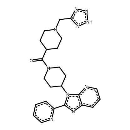 O=C(C1CCN(Cc2nn[nH]n2)CC1)N1CCC(n2c(-c3ccccn3)nc3cccnc32)CC1